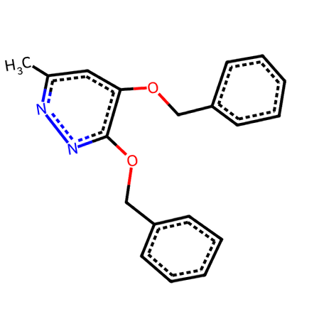 Cc1cc(OCc2ccccc2)c(OCc2ccccc2)nn1